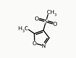 Cc1oncc1S(C)(=O)=O